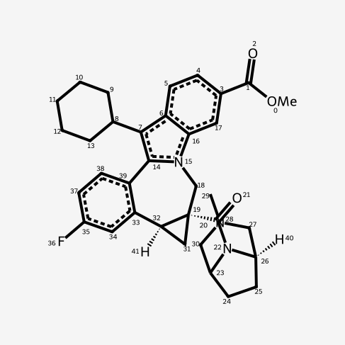 COC(=O)c1ccc2c(C3CCCCC3)c3n(c2c1)C[C@@]1(C(=O)N2C4CC[C@@H]2CN(C)C4)C[C@H]1c1cc(F)ccc1-3